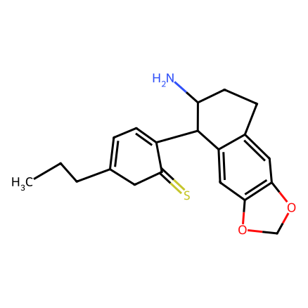 CCCC1=CC=C(C2c3cc4c(cc3CCC2N)OCO4)C(=S)C1